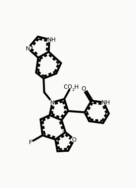 O=C(O)c1c(-c2ccc[nH]c2=O)c2c3occc3c(F)cc2n1Cc1ccc2[nH]cnc2c1